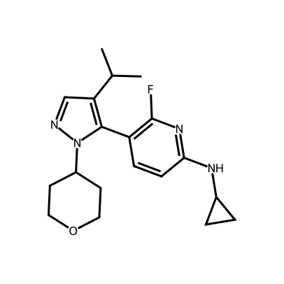 CC(C)c1cnn(C2CCOCC2)c1-c1ccc(NC2CC2)nc1F